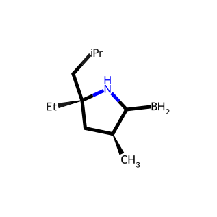 BC1N[C@@](CC)(CC(C)C)C[C@@H]1C